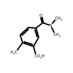 Cc1ccc(C(=O)N(C)C)cc1C(=O)O